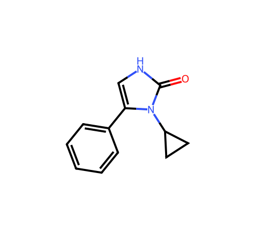 O=c1[nH]cc(-c2ccccc2)n1C1CC1